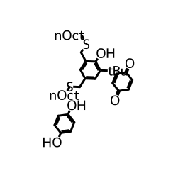 CCCCCCCCSCc1cc(CSCCCCCCCC)c(O)c(C(C)(C)C)c1.O=C1C=CC(=O)C=C1.Oc1ccc(O)cc1